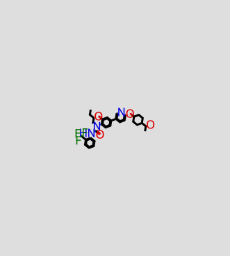 CCC1CN(C(=O)Nc2ccccc2C(F)(F)F)c2ccc(-c3ccc(OC4CCC(C(C)=O)CC4)nc3)cc2O1